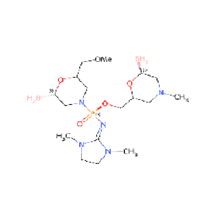 B[C@H]1CN(C)CC(CO[P@](=O)(N=C2N(C)CCN2C)N2CC(COC)O[C@@H](B)C2)O1